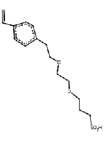 C=Cc1ccc(CCOCCOCCCS(=O)(=O)O)cc1